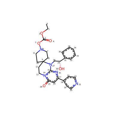 CCOC(=O)ON1CCC2(CC1)CCn1c(nc(-c3ccncc3)cc1=O)N2C[C@@H](O)c1ccccc1